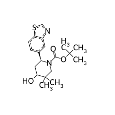 CC(C)(C)OC(=O)N1CC(C)(C)C(O)C[C@H]1c1ccc2scnc2c1